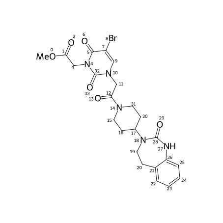 COC(=O)Cn1c(=O)c(Br)cn(CC(=O)N2CCC(N3CCc4ccccc4NC3=O)CC2)c1=O